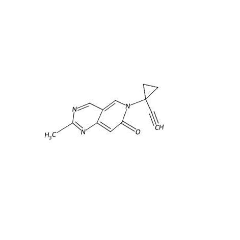 C#CC1(n2cc3cnc(C)nc3cc2=O)CC1